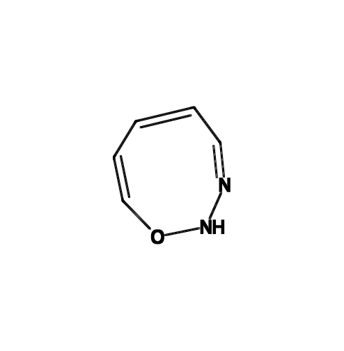 c1ccn[nH]occ1